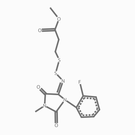 COC(=O)CCSSN=C1C(=O)N(C)C(=O)N1c1ccccc1F